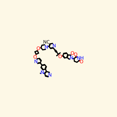 Cn1c2ccncc2c2ccc(-c3ccc(OC4CC(OC5CCN(c6cc(C#CC(C)(C)Oc7ccc8c(c7)CN(C7CCC(=O)NC7=O)C8=O)ncc6C#N)CC5)C4)nc3)cc21